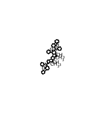 CC1(C)c2cc(N(c3ccccc3)c3cccc4c3oc3ccccc34)ccc2-c2cc3c(cc21)C(C)(C)c1cc(N(c2ccccc2)c2cccc4c2oc2ccccc24)c2oc4ccccc4c2c1-3